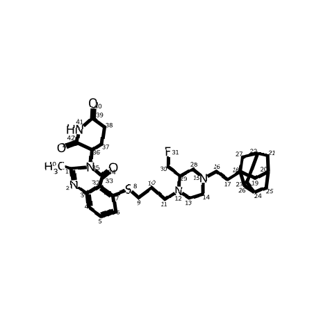 Cc1nc2cccc(SCCCN3CCN(CCC45CC6CC(CC(C6)C4)C5)CC3CF)c2c(=O)n1C1CCC(=O)NC1=O